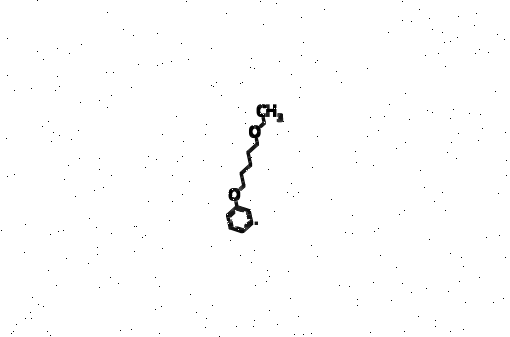 CCOCCCCCOc1c[c]ccc1